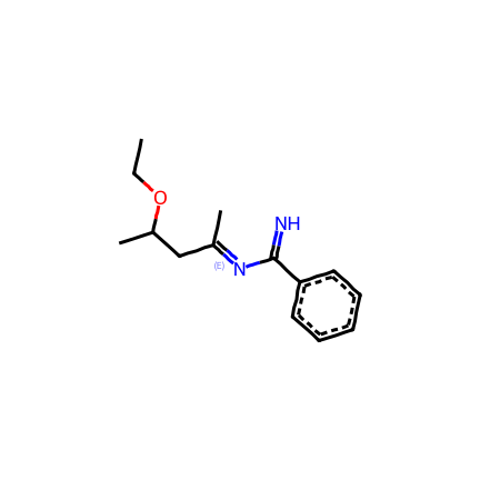 CCOC(C)C/C(C)=N/C(=N)c1ccccc1